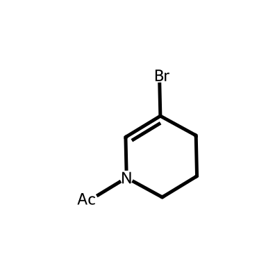 CC(=O)N1C=C(Br)CCC1